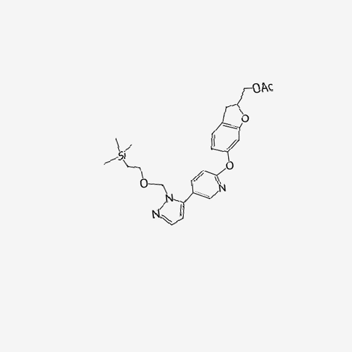 CC(=O)OCC1Cc2ccc(Oc3ccc(-c4ccnn4COCC[Si](C)(C)C)cn3)cc2O1